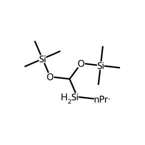 CC[CH][SiH2]C(O[Si](C)(C)C)O[Si](C)(C)C